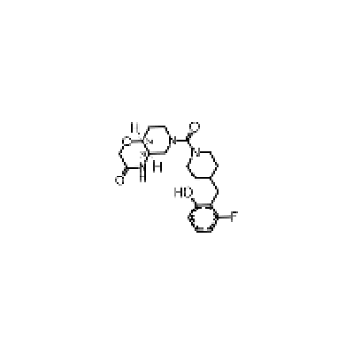 O=C1CO[C@H]2CCN(C(=O)N3CCC(Cc4c(O)cccc4F)CC3)C[C@H]2N1